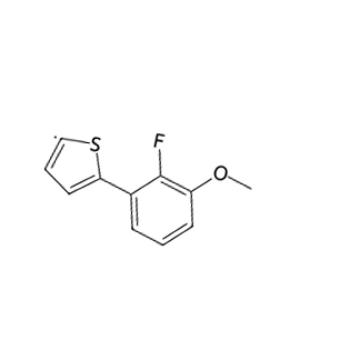 COc1cccc(-c2cc[c]s2)c1F